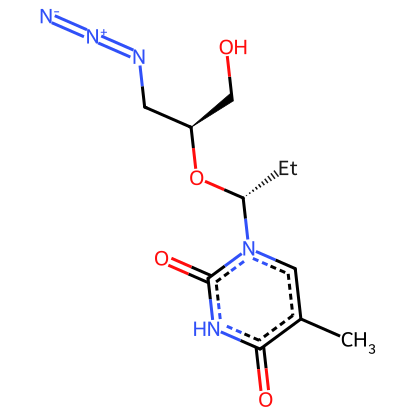 CC[C@@H](O[C@H](CO)CN=[N+]=[N-])n1cc(C)c(=O)[nH]c1=O